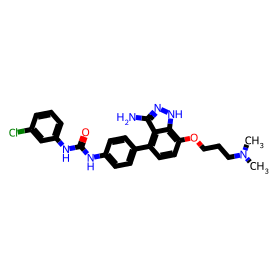 CN(C)CCCOc1ccc(-c2ccc(NC(=O)Nc3cccc(Cl)c3)cc2)c2c(N)n[nH]c12